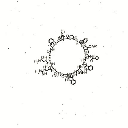 C=C1N[C@@H](CCNC(=O)C2CCC2)C(=O)N[C@@H](Cc2c[nH]c3ccccc23)C(=O)N[C@@H](CO)C(=O)N[C@@H](Cc2c[nH]c3ccccc23)C(=O)N(C)[C@@H](CCCC)C(=O)N(C)[C@@H](CCCC)C(=O)N[C@@H](CCCNC(=N)N)C(=O)N[C@H](C(=O)NCC(N)=O)CSCC(=O)N[C@@H](Cc2ccccc2)C(=O)N(C)[C@@H](C)C(=O)N[C@@H](CC(N)=O)C(=O)N2CCC[C@H]2C(=O)N[C@@H](Cc2cnc[nH]2)C(=O)N[C@H]1CC(C)OC